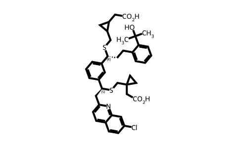 CC(C)(O)c1ccccc1CC[C@@H](SCC1CC1CC(=O)O)c1cccc([C@H](Cc2ccc3ccc(Cl)cc3n2)SCC2(CC(=O)O)CC2)c1